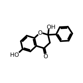 O=C1CC(O)(c2ccccc2)Oc2ccc(O)cc21